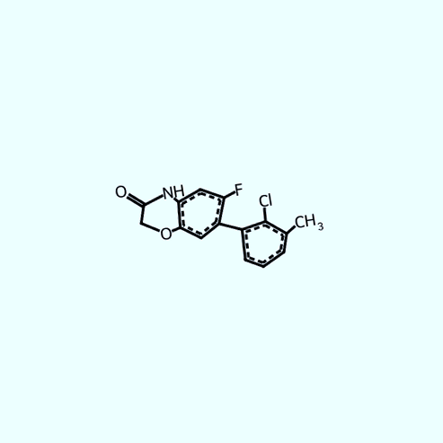 Cc1cccc(-c2cc3c(cc2F)NC(=O)CO3)c1Cl